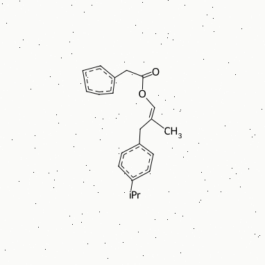 CC(=COC(=O)Cc1ccccc1)Cc1ccc(C(C)C)cc1